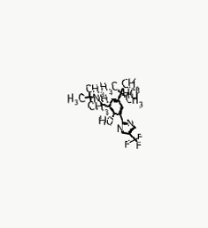 CC(C)(C)NCc1cc(C(C)(C)C)cc(-c2ncc(C(F)(F)F)cn2)c1O.Cl